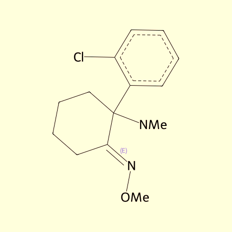 CNC1(c2ccccc2Cl)CCCC/C1=N\OC